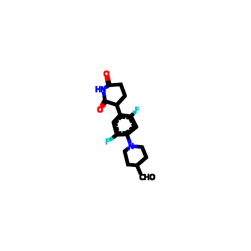 O=CC1CCN(c2cc(F)c(C3CCC(=O)NC3=O)cc2F)CC1